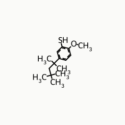 COc1ccc(C(C)(C)CC(C)(C)C)cc1S